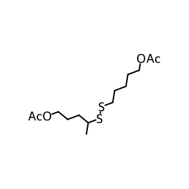 CC(=O)OCCCCCSSC(C)CCCOC(C)=O